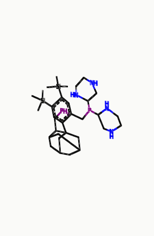 C[Si](C)(C)c1cc(CP(C2CNCCN2)C2CNCCN2)c(C23CC4CC(CC(C4)C2CP)C3)cc1[Si](C)(C)C